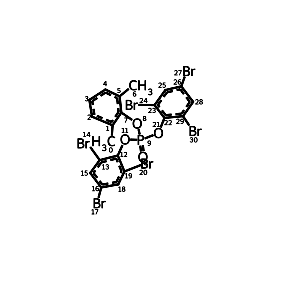 Cc1cccc(C)c1OP(=O)(Oc1c(Br)cc(Br)cc1Br)Oc1c(Br)cc(Br)cc1Br